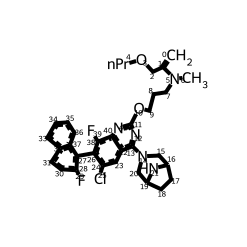 C=C(COCCC)N(C)CCCOc1nc(N2CC3CCC(C2)N3)c2cc(Cl)c(-c3c(F)ccc4ccccc34)c(F)c2n1